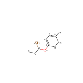 CCC(S)OC1=CC=C(C)CC1